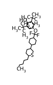 CCCCCC1CCC(C2CCC(C(F)(F)Oc3cc(C(C)(C)C)c(O)c(C(C)(C)C)c3)CC2)CS1